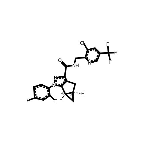 O=C(NCc1ncc(C(F)(F)F)cc1Cl)c1nn(-c2ccc(F)cc2F)c2c1C[C@H]1C[C@@H]21